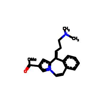 COC(=O)c1cc2n(c1)C=Cc1ccccc1/C2=C\CCN(C)C